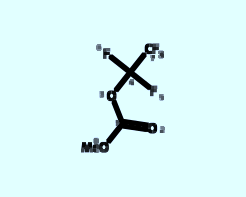 COC(=O)OC(F)(F)C(F)(F)F